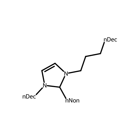 CCCCCCCCCCCCCN1C=CN(CCCCCCCCCC)C1CCCCCCCCC